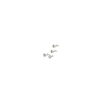 [Er+3].[Er+3].[Er+3].[O-2]